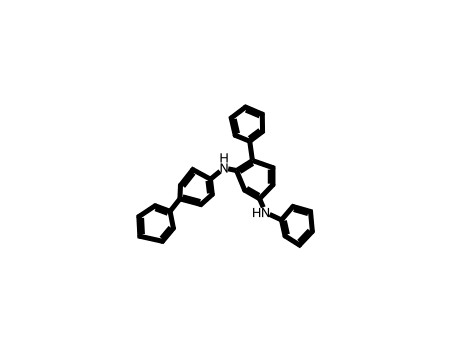 c1ccc(Nc2ccc(-c3ccccc3)c(Nc3ccc(-c4ccccc4)cc3)c2)cc1